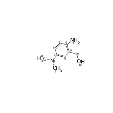 CN(C)c1ccc(N)c(CO)c1